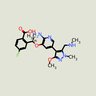 CNCc1c(-c2cnc(N)c(O[C@H](C)c3cc(F)ccc3C(=O)O)c2)c(OC)nn1C